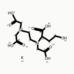 O=C(O)CN(CCN(CC(=O)O)C(CCO)C(=O)O)CC(=O)O.[K]